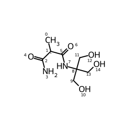 C[C](C(N)=O)C(=O)NC(CO)(CO)CO